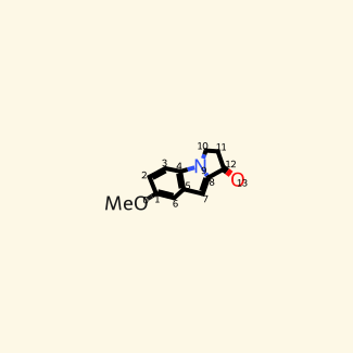 COc1ccc2c(c1)cc1n2CCC1=O